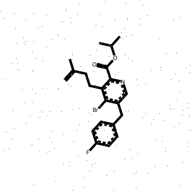 C=C(C)CCc1c(C(=O)OC(C)C)ncc(Cc2ccc(F)cc2)c1Br